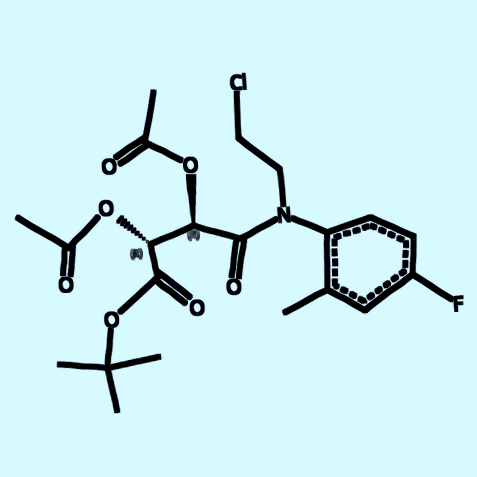 CC(=O)O[C@@H](C(=O)OC(C)(C)C)[C@@H](OC(C)=O)C(=O)N(CCCl)c1ccc(F)cc1C